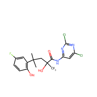 CC(C)(CC(O)(C(=O)Nc1cc(Cl)nc(Cl)n1)C(F)(F)F)c1cc(F)ccc1O